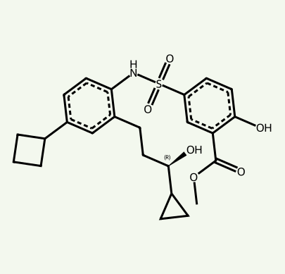 COC(=O)c1cc(S(=O)(=O)Nc2ccc(C3CCC3)cc2CC[C@@H](O)C2CC2)ccc1O